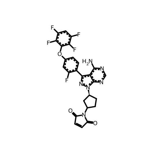 Nc1ncnc2c1c(-c1ccc(Oc3c(F)c(F)cc(F)c3F)cc1F)nn2[C@H]1CCC(N2C(=O)C=CC2=O)C1